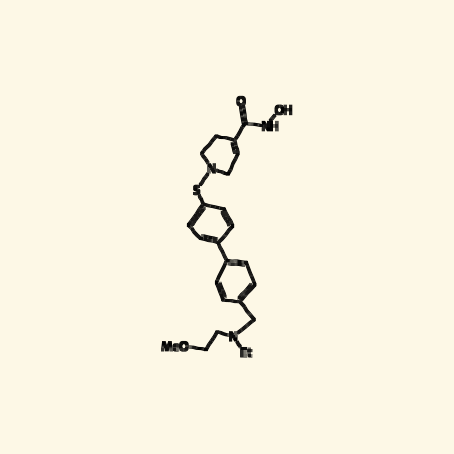 CCN(CCOC)Cc1ccc(-c2ccc(SN3CC=C(C(=O)NO)CC3)cc2)cc1